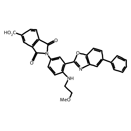 COCCNc1ccc(N2C(=O)c3ccc(C(=O)O)cc3C2=O)cc1-c1nc2cc(-c3ccccc3)ccc2o1